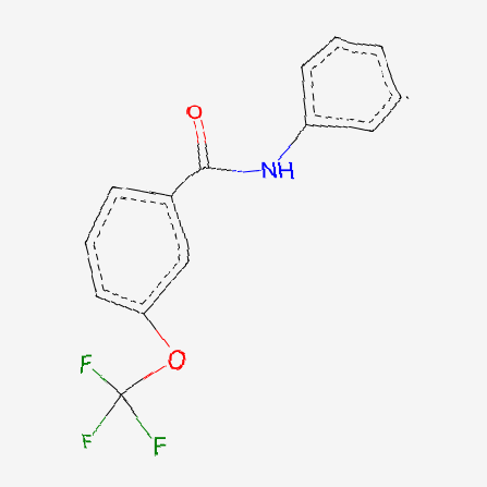 O=C(Nc1c[c]ccc1)c1cccc(OC(F)(F)F)c1